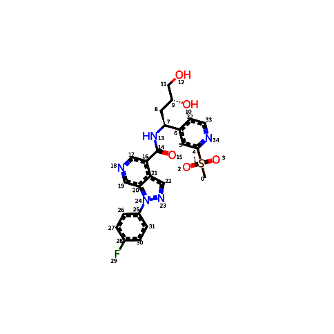 CS(=O)(=O)c1cc([C@H](C[C@@H](O)CO)NC(=O)c2cncc3c2cnn3-c2ccc(F)cc2)ccn1